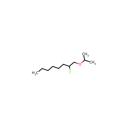 CCCCCCC(F)COC(C)C